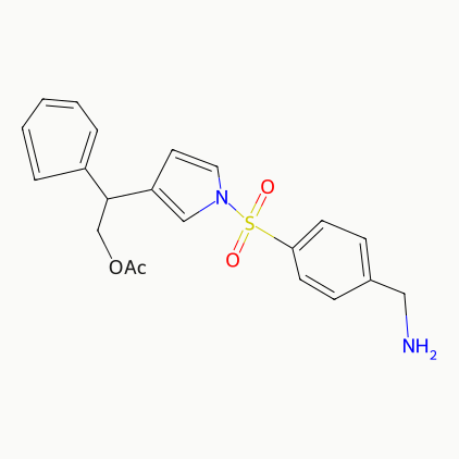 CC(=O)OCC(c1ccccc1)c1ccn(S(=O)(=O)c2ccc(CN)cc2)c1